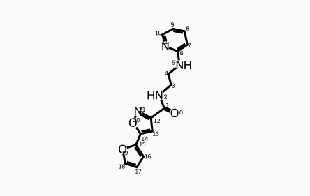 O=C(NCCNc1ccccn1)c1cc(-c2ccco2)on1